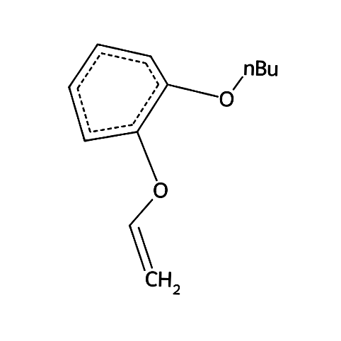 C=COc1ccccc1OCCCC